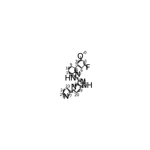 COc1cc(F)cc(-c2cccc3[nH]c(-c4n[nH]c5ccc(-c6cccnc6)nc45)nc23)c1